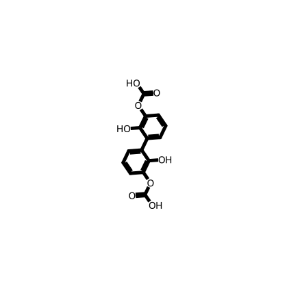 O=C(O)Oc1cccc(-c2cccc(OC(=O)O)c2O)c1O